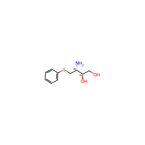 N[C@@H](CSc1ccccc1)[C@H](O)CO